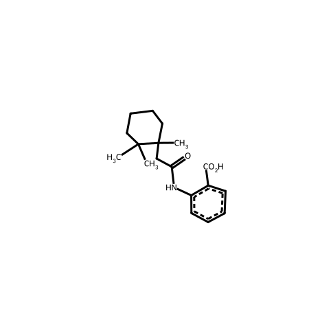 CC1(C)CCCCC1(C)CC(=O)Nc1ccccc1C(=O)O